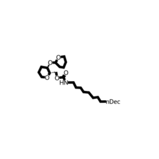 CCCCCCCCCCCCCCCCCCNC(=O)OC[C@@H]1OCCC[C@H]1OC1CCCCO1